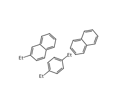 CCc1ccc(CC)cc1.CCc1ccc2ccccc2c1.c1ccc2ccccc2c1